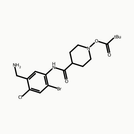 CC(C)(C)C(=O)ON1CCC(C(=O)Nc2cc(CN)c(Cl)cc2Br)CC1